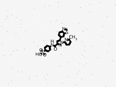 Cc1cccc(-n2nc(C(=O)Nc3ccc(S(=O)(=O)O)cc3)cc2-c2ccc3ncsc3c2)n1